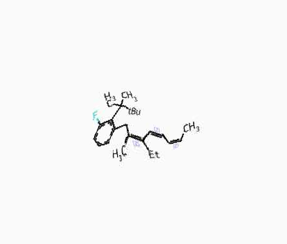 C\C=C/C=C\C(CC)=C(\C)Cc1cccc(F)c1C(C)(C)C(C)(C)C